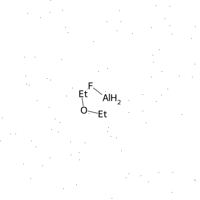 CCOCC.[F][AlH2]